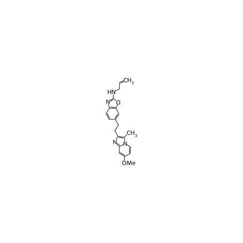 C=CCNc1nc2ccc(CCc3nc4cc(OC)ccn4c3C)cc2o1